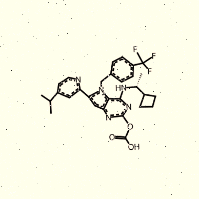 CC(C)c1ccnc(-c2cc3nc(OC(=O)O)nc(N[C@H](C)C4CCC4)c3n2Cc2ccc(C(F)(F)F)cc2)c1